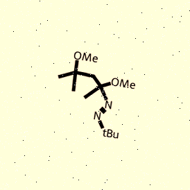 COC(C)(C)CC(C)(/N=N/C(C)(C)C)OC